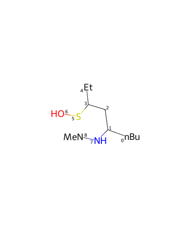 CCCCC(CC(CC)SO)NNC